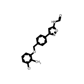 Cc1c(Cl)cccc1OCc1ccc(-c2cc(NC=O)on2)cc1